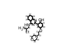 CCC(N)CNc1nc(-c2cc(OCCN3CCOCC3)ccc2O)nc2ccccc12